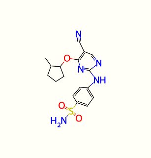 CC1CCCC1Oc1nc(Nc2ccc(S(N)(=O)=O)cc2)ncc1C#N